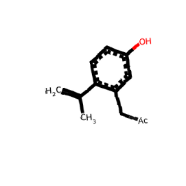 C=C(C)c1ccc(O)cc1CC(C)=O